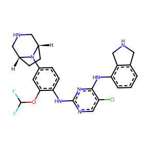 FC(F)Oc1cc(N2[C@@H]3CC[C@H]2CNC3)ccc1Nc1ncc(Cl)c(Nc2cccc3c2CNC3)n1